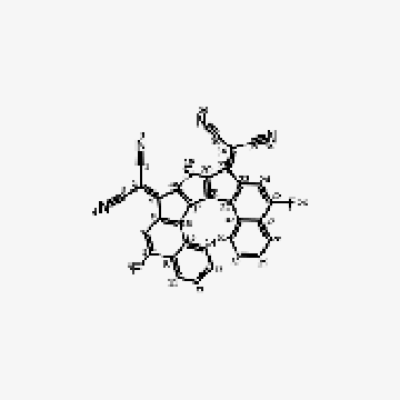 N#CC(C#N)=C1c2cc(F)c3ccccc3c2-c2c1sc1c2-c2c(cc(F)c3ccccc23)C1=C(C#N)C#N